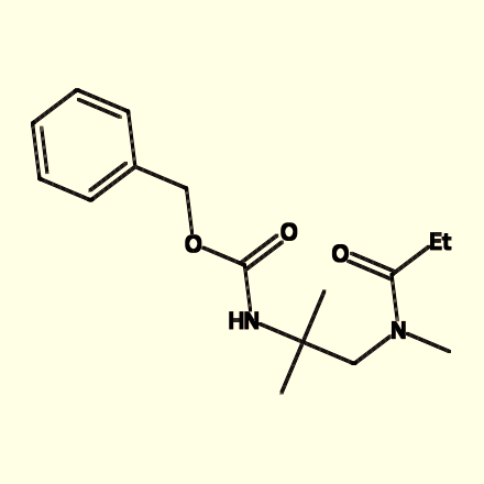 [CH2]CC(=O)N(C)CC(C)(C)NC(=O)OCc1ccccc1